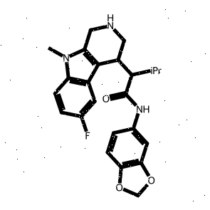 CC(C)C(C(=O)Nc1ccc2c(c1)OCO2)C1CNCc2c1c1cc(F)ccc1n2C